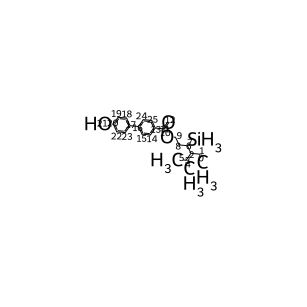 CCC(C(C)C)C([SiH3])CCOC(=O)c1ccc(-c2ccc(O)cc2)cc1